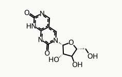 O=c1ncc2cn([C@@H]3O[C@H](CO)C(O)[C@@H]3O)c(=O)nc2[nH]1